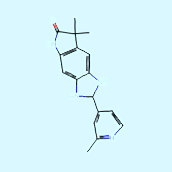 Cc1cc(C2Nc3cc4c(cc3N2)C(C)(C)C(=O)N4)ccn1